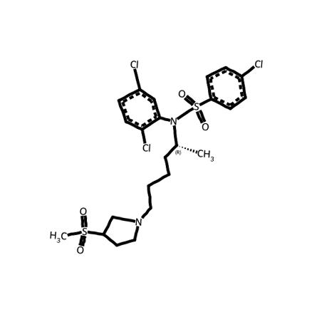 C[C@H](CCCCN1CCC(S(C)(=O)=O)C1)N(c1cc(Cl)ccc1Cl)S(=O)(=O)c1ccc(Cl)cc1